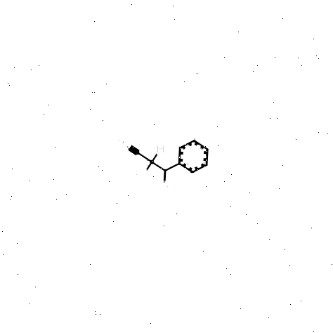 [2H]C([2H])(C#N)C(O)c1ccccc1